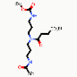 CCCC(=O)NCCCN(CCCNC(=O)OC(C)(C)C)C(=O)CCC(=O)OCC